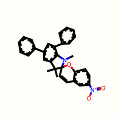 CN1c2c(-c3ccccc3)cc(-c3ccccc3)cc2C(C)(C)C12C=Cc1cc([N+](=O)[O-])ccc1O2